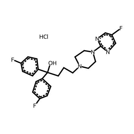 Cl.OC(CCCN1CCN(c2ncc(F)cn2)CC1)(c1ccc(F)cc1)c1ccc(F)cc1